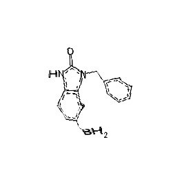 Bc1ccc2[nH]c(=O)n(Cc3ccccc3)c2c1